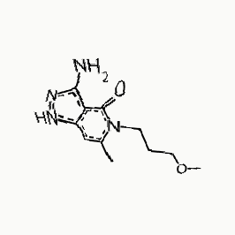 COCCCn1c(C)cc2[nH]nc(N)c2c1=O